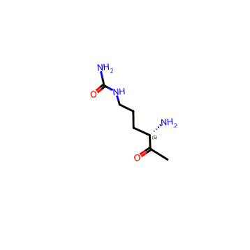 CC(=O)[C@@H](N)CCCNC(N)=O